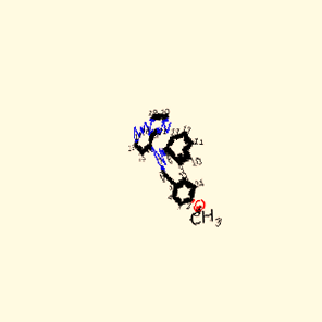 COc1ccc(CN(c2ccccc2)c2ccnn3ccnc23)cc1